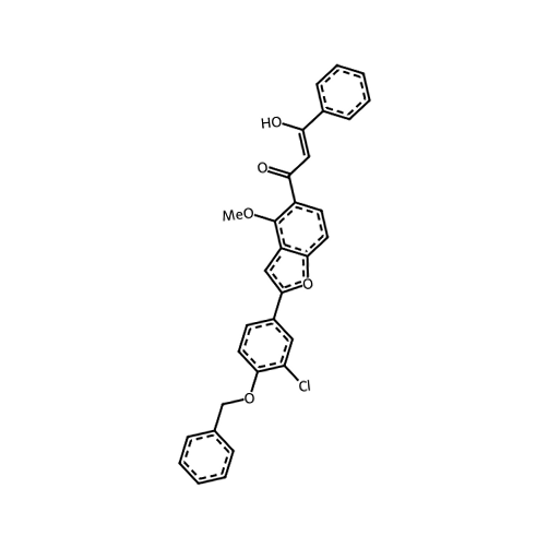 COc1c(C(=O)/C=C(\O)c2ccccc2)ccc2oc(-c3ccc(OCc4ccccc4)c(Cl)c3)cc12